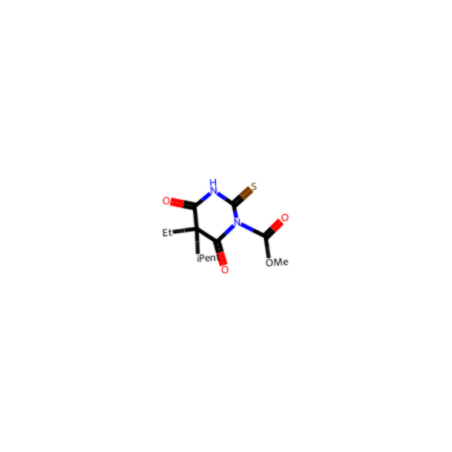 CCCC(C)C1(CC)C(=O)NC(=S)N(C(=O)OC)C1=O